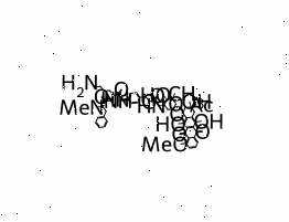 CNC(Cc1ccccc1)C(=O)NC(CCCCN)C(=O)Nc1ccc(COC(=O)N[C@@H]2C[C@@H](O[C@@H]3C[C@@](O)(C(C)=O)Cc4c(O)c5c(c(O)c43)C(=O)c3c(OC)cccc3C5=O)O[C@H](C)[C@@H]2O)cc1